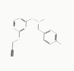 C#CCNc1ncnc(NN(CCC)Cc2ccc(F)cc2)n1